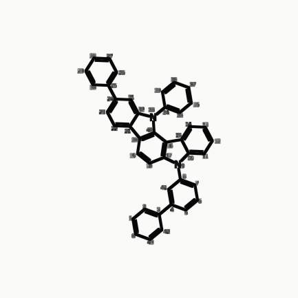 c1ccc(-c2cccc(-n3c4ccccc4c4c3ccc3c5ccc(-c6ccccc6)cc5n(-c5ccccc5)c34)c2)cc1